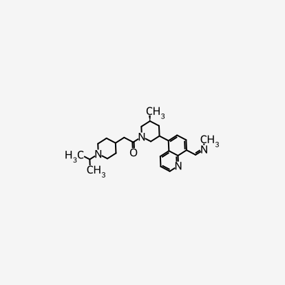 C/N=C\c1ccc(C2C[C@H](C)CN(C(=O)CC3CCN(C(C)C)CC3)C2)c2cccnc12